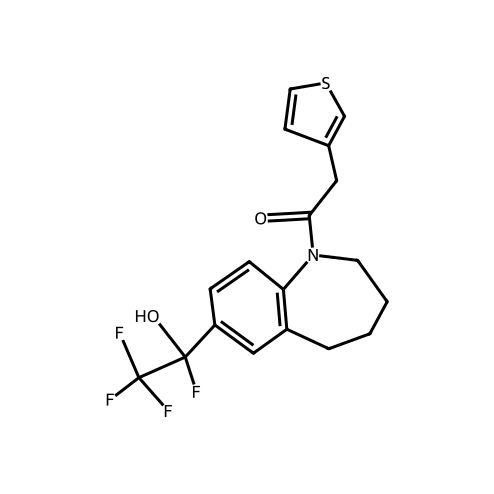 O=C(Cc1ccsc1)N1CCCCc2cc(C(O)(F)C(F)(F)F)ccc21